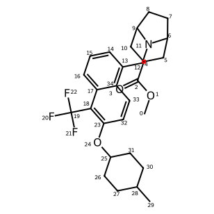 COC(=O)C1CC2CCC(C1)N2Cc1cccc2c(C(F)(F)F)c(OC3CCC(C)CC3)ccc12